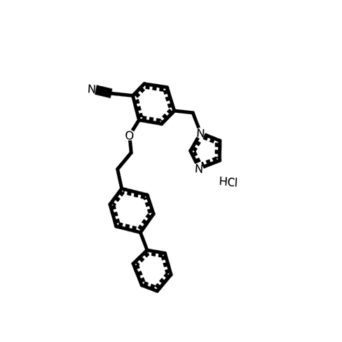 Cl.N#Cc1ccc(Cn2ccnc2)cc1OCCc1ccc(-c2ccccc2)cc1